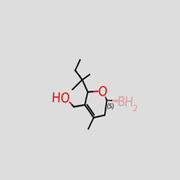 B[C@H]1CC(C)=C(CO)C(C(C)(C)CC)O1